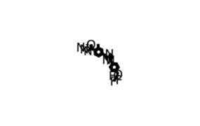 Cc1cc(-c2ncn(-c3ccc(OC(F)(F)F)cc3)n2)ccc1C(=O)N=[N+]=[N-]